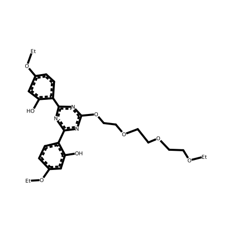 CCOCCOCCOCCOc1nc(-c2ccc(OCC)cc2O)nc(-c2ccc(OCC)cc2O)n1